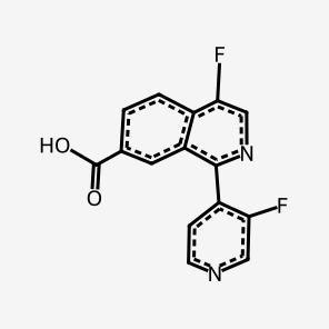 O=C(O)c1ccc2c(F)cnc(-c3ccncc3F)c2c1